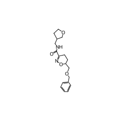 O=C(NCC1CCOC1)C1=NOC(COCc2ccccc2)CC1